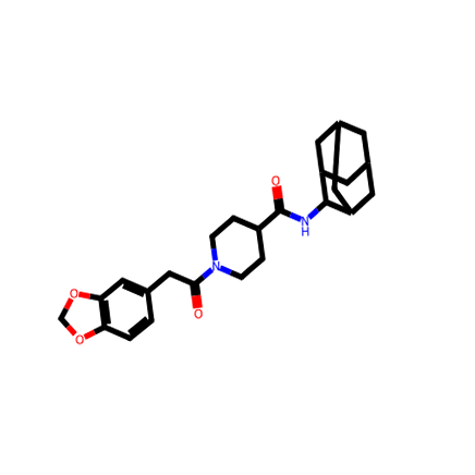 O=C(NC1C2CC3CC(C2)CC1C3)C1CCN(C(=O)Cc2ccc3c(c2)OCO3)CC1